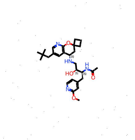 COc1cc(C[C@H](NC(C)=O)[C@@H](O)CN[C@H]2CC3(CCC3)Oc3ncc(CC(C)(C)C)cc32)ccn1